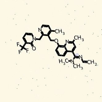 C=C/N=C(/c1cc(C)nc2c(OCc3c(C)ccnc3Cn3cccc(C(F)(F)F)c3=O)cccc12)N(C)C